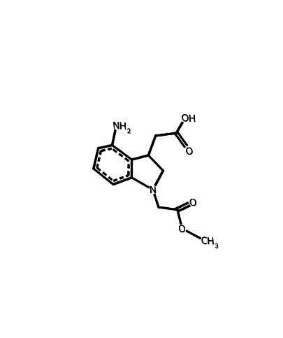 COC(=O)CN1CC(CC(=O)O)c2c(N)cccc21